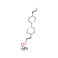 CC=C[C@H]1CC[C@H]([C@H]2CC[C@H](C=CCOCCC)CC2)CC1